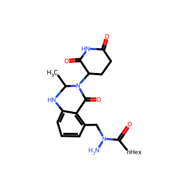 CCCCCCC(=O)N(N)Cc1cccc2c1C(=O)N(C1CCC(=O)NC1=O)C(C)N2